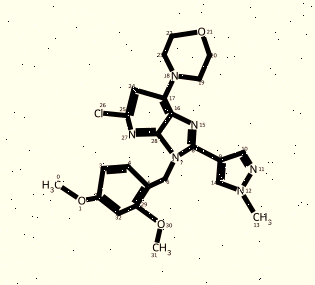 COc1ccc(Cn2c(-c3cnn(C)c3)nc3c(N4CCOCC4)cc(Cl)nc32)c(OC)c1